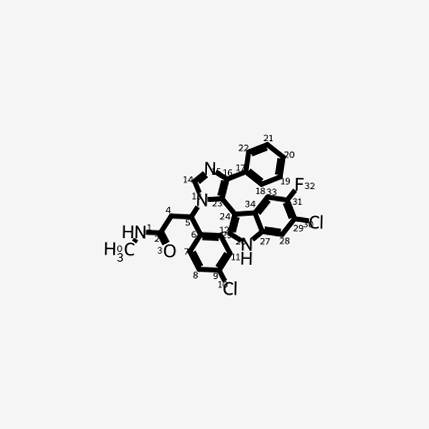 CNC(=O)CC(c1ccc(Cl)cc1)n1cnc(-c2ccccc2)c1-c1c[nH]c2cc(Cl)c(F)cc12